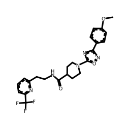 COc1ccc(-c2noc(N3CCC(C(=O)NCCc4cccc(C(F)(F)F)n4)CC3)n2)cc1